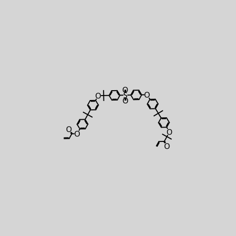 C=CC(=O)Oc1ccc(C(C)(C)c2ccc(OC(C)(C)c3ccc(S(=O)(=O)c4ccc(Oc5ccc(C(C)(C)c6ccc(OC(C)(C)C(=O)C=C)cc6)cc5)cc4)cc3)cc2)cc1